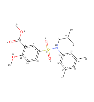 COC(=O)c1cc(S(=O)(=O)N(CC(C)C)c2cc(C)cc(C)c2)ccc1OC